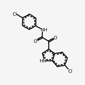 O=C(Nc1ccc(Cl)cc1)C(=O)c1c[nH]c2cc(Cl)ccc12